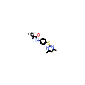 CCCC(C)(C)C(=O)Nc1ccc(Sc2nc(C)cc(C)n2)cc1